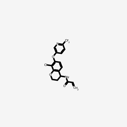 C=CC(=O)NC1CCOc2c1ccc(Oc1ccc(C(F)(F)F)nc1)c2Cl